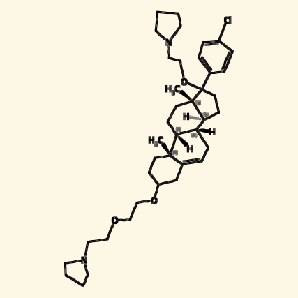 C[C@]12CCC(OCCOCCN3CCCC3)CC1=CC[C@@H]1[C@H]2CC[C@@]2(C)[C@H]1CCC2(OCCN1CCCC1)c1ccc(Cl)cc1